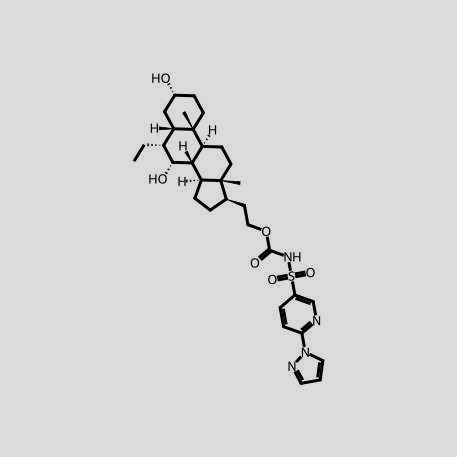 CC[C@H]1[C@@H](O)[C@@H]2[C@H](CC[C@]3(C)[C@@H](CCOC(=O)NS(=O)(=O)c4ccc(-n5cccn5)nc4)CC[C@@H]23)[C@@]2(C)CC[C@@H](O)C[C@@H]12